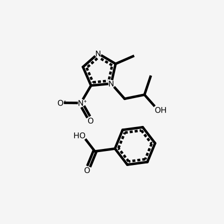 Cc1ncc([N+](=O)[O-])n1CC(C)O.O=C(O)c1ccccc1